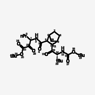 CCCC(NC(=O)C1C2CCC(C2)N1C(=O)[C@H](NC(=O)OC(C)(C)C)C(C)(C)C)C(=O)C(=O)OC(C)(C)C